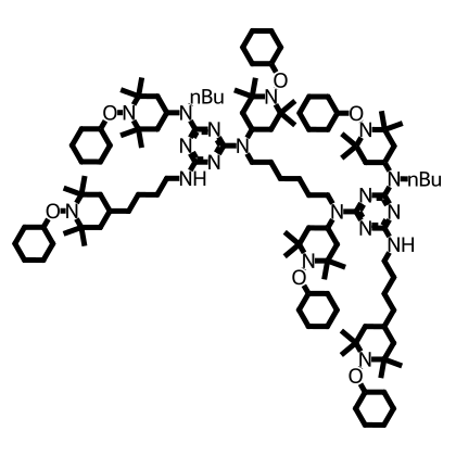 CCCCN(c1nc(NCCCCC2CC(C)(C)N(OC3CCCCC3)C(C)(C)C2)nc(N(CCCCCCN(c2nc(NCCCCC3CC(C)(C)N(OC4CCCCC4)C(C)(C)C3)nc(N(CCCC)C3CC(C)(C)N(OC4CCCCC4)C(C)(C)C3)n2)C2CC(C)(C)N(OC3CCCCC3)C(C)(C)C2)C2CC(C)(C)N(OC3CCCCC3)C(C)(C)C2)n1)C1CC(C)(C)N(OC2CCCCC2)C(C)(C)C1